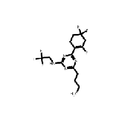 CCCCc1nc(NCC(F)(F)F)nc(C2=C(F)CC(F)(F)CC2)n1